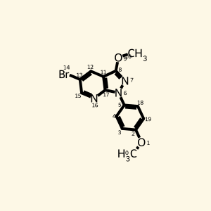 COc1ccc(-n2nc(OC)c3cc(Br)cnc32)cc1